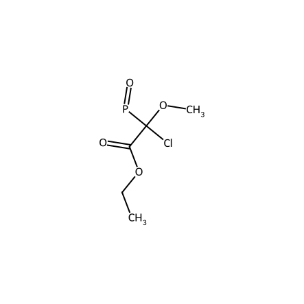 CCOC(=O)C(Cl)(OC)P=O